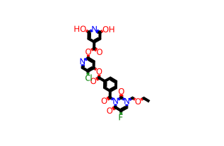 CCOCn1cc(F)c(=O)n(C(=O)c2cccc(C(=O)Oc3cc(OC(=O)c4cc(O)nc(O)c4)ncc3Cl)c2)c1=O